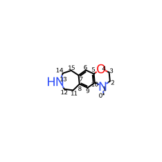 CN1CCOc2cc3c(cc21)CCNCC3